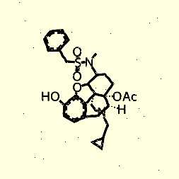 CC(=O)O[C@@]12CCC(N(C)S(=O)(=O)Cc3ccccc3)C3Oc4c(O)ccc5c4[C@@]31CCN(CC1CC1)[C@@H]2C5